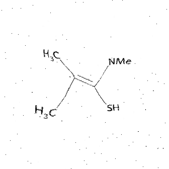 CNC(S)=C(C)C